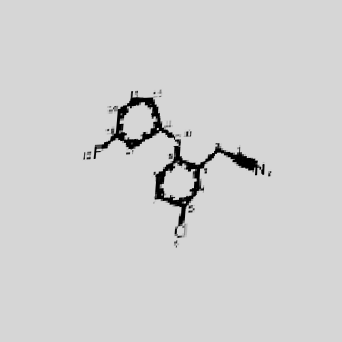 N#CCc1cc(Cl)ccc1Sc1cccc(F)c1